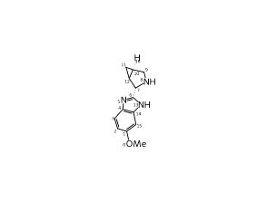 COc1ccc2nc([C@H]3NC[C@@H]4CC43)[nH]c2c1